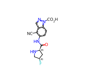 N#Cc1c(NC(=O)[C@H]2C[C@@H](F)CN2)ccc2c1cnn2C(=O)O